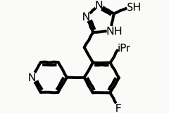 CC(C)c1cc(F)cc(-c2ccncc2)c1Cc1nnc(S)[nH]1